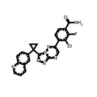 CCc1c(-c2cnc3nnc(C4(c5ccc6ncccc6c5)CC4)n3n2)ccc(C(N)=O)c1F